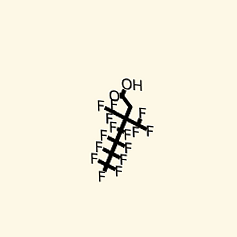 O=C(O)CC(C(F)(F)F)(C(F)(F)F)C(F)(F)C(F)(F)C(F)(F)C(F)(F)F